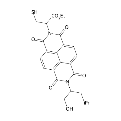 CCOC(=O)C(CS)N1C(=O)c2ccc3c4c(ccc(c24)C1=O)C(=O)N(C(CO)CC(C)C)C3=O